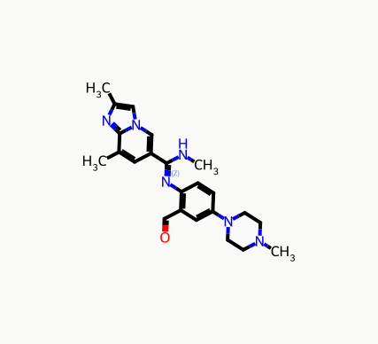 CN/C(=N\c1ccc(N2CCN(C)CC2)cc1C=O)c1cc(C)c2nc(C)cn2c1